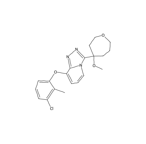 COC1(c2nnc3c(Oc4cccc(Cl)c4C)cccn23)CCCOCC1